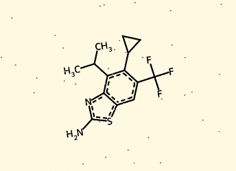 CC(C)c1c(C2CC2)c(C(F)(F)F)cc2sc(N)nc12